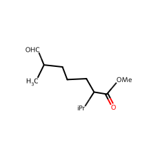 COC(=O)C(CCCC(C)C=O)C(C)C